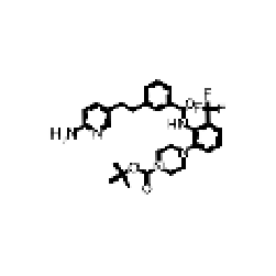 CC(C)(C)OC(=O)N1CCN(c2cccc(C(F)(F)F)c2NC(=O)c2cccc(CCc3ccc(N)nc3)c2)CC1